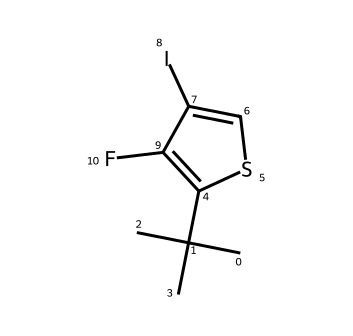 CC(C)(C)c1scc(I)c1F